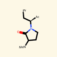 CNC1CCN([C@@H](CC(C)C)C(C)=O)C1=O